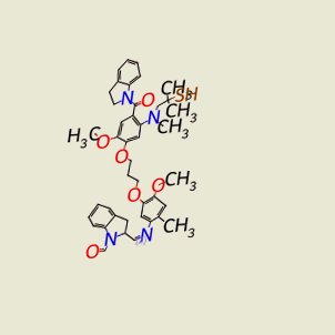 COc1cc(C)c(/N=C\C2Cc3ccccc3N2C=O)cc1OCCCOc1cc(N(C)CC(C)(C)S)c(C(=O)N2CCc3ccccc32)cc1OC